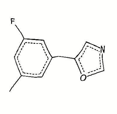 Cc1cc(F)cc(-c2cnco2)c1